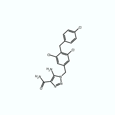 NC(=O)c1nnn(Cc2cc(Cl)c(Cc3ccc(Cl)cc3)c(Cl)c2)c1N